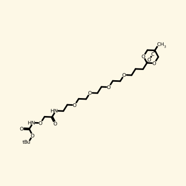 CC12COC(CCCOCCOCCOCCOCCNC(=O)CONC(=O)OC(C)(C)C)(OC1)OC2